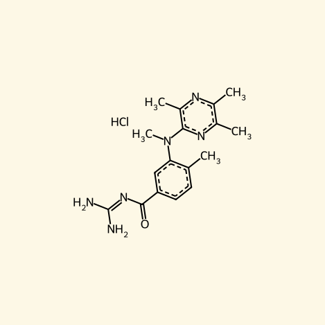 Cc1ccc(C(=O)N=C(N)N)cc1N(C)c1nc(C)c(C)nc1C.Cl